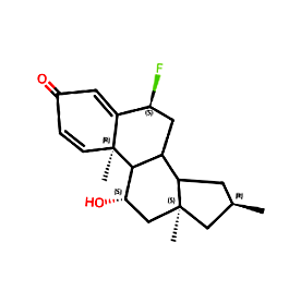 C[C@@H]1CC2C3C[C@H](F)C4=CC(=O)C=C[C@]4(C)C3[C@@H](O)C[C@]2(C)C1